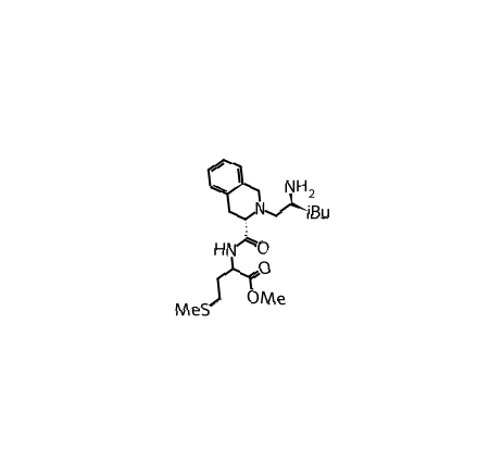 CC[C@H](C)[C@H](N)CN1Cc2ccccc2C[C@H]1C(=O)NC(CCSC)C(=O)OC